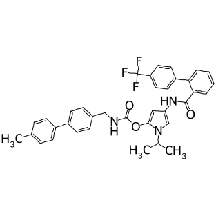 Cc1ccc(-c2ccc(CNC(=O)Oc3cc(NC(=O)c4ccccc4-c4ccc(C(F)(F)F)cc4)cn3C(C)C)cc2)cc1